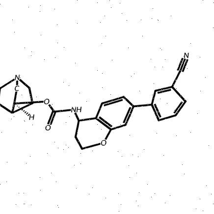 N#Cc1cccc(-c2ccc3c(c2)OCCC3NC(=O)O[C@@H]2CN3CCC2CC3)c1